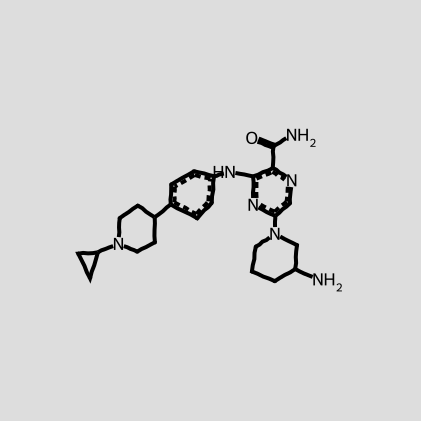 NC(=O)c1ncc(N2CCCC(N)C2)nc1Nc1ccc(C2CCN(C3CC3)CC2)cc1